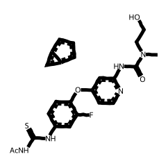 CC(=O)NC(=S)Nc1ccc(Oc2ccnc(NC(=O)N(C)CCO)c2)c(F)c1.c1cc2cc-2c1